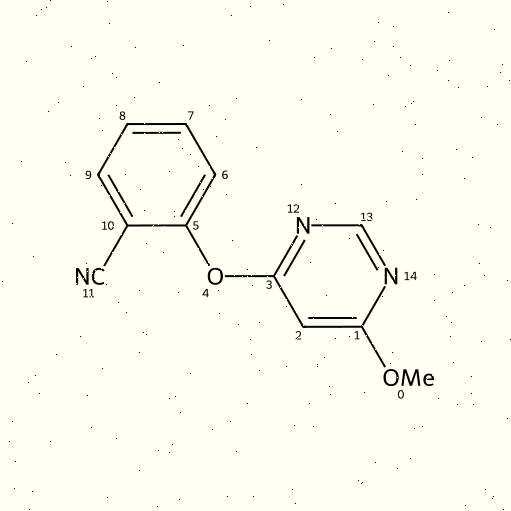 COc1cc(Oc2ccccc2C#N)ncn1